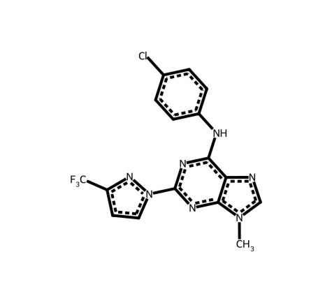 Cn1cnc2c(Nc3ccc(Cl)cc3)nc(-n3ccc(C(F)(F)F)n3)nc21